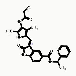 Cc1[nH]c(/C=C2\C(=O)Nc3ccc(C(=O)NC(C)c4ccccn4)cc32)c(C)c1NC(=O)CCl